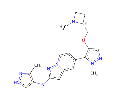 Cc1n[nH]cc1Nc1cc2cc(-c3c(OC[C@H]4CCN4C)cnn3C)ccn2n1